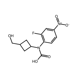 O=C(O)N(c1ccc([N+](=O)[O-])cc1F)C1CC(CO)C1